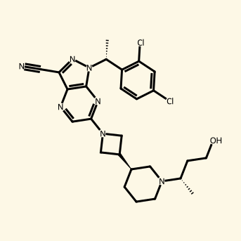 C[C@H](c1ccc(Cl)cc1Cl)n1nc(C#N)c2ncc(N3CC([C@@H]4CCCN([C@@H](C)CCO)C4)C3)nc21